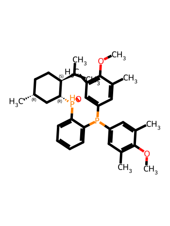 COc1c(C)cc(P(c2cc(C)c(OC)c(C)c2)c2ccccc2[PH](=O)[C@@H]2C[C@H](C)CC[C@H]2C(C)C)cc1C